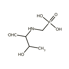 CC(O)C([C]=O)NCP(=O)(O)O